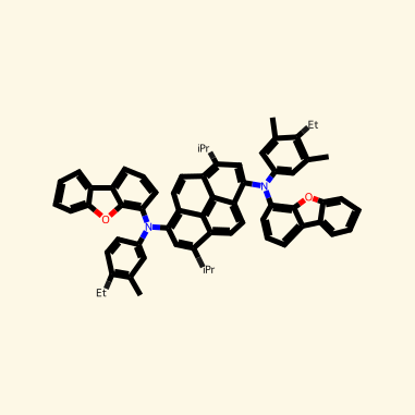 CCc1ccc(N(c2cc(C(C)C)c3ccc4c(N(c5cc(C)c(CC)c(C)c5)c5cccc6c5oc5ccccc56)cc(C(C)C)c5ccc2c3c54)c2cccc3c2oc2ccccc23)cc1C